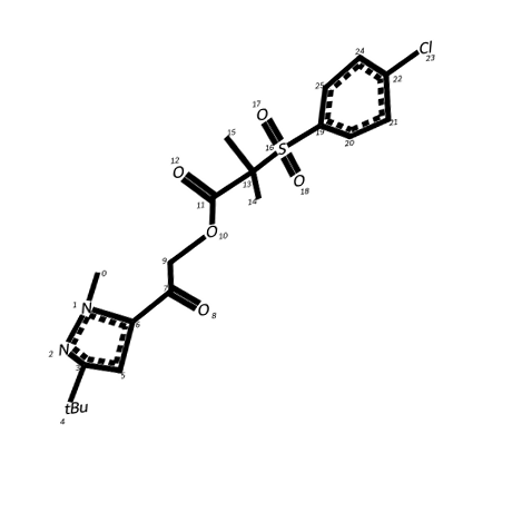 Cn1nc(C(C)(C)C)cc1C(=O)COC(=O)C(C)(C)S(=O)(=O)c1ccc(Cl)cc1